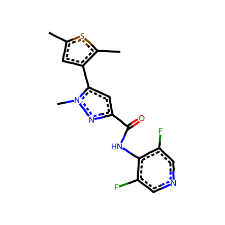 Cc1cc(-c2cc(C(=O)Nc3c(F)cncc3F)nn2C)c(C)s1